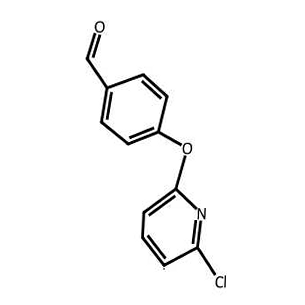 O=Cc1ccc(Oc2cc[c]c(Cl)n2)cc1